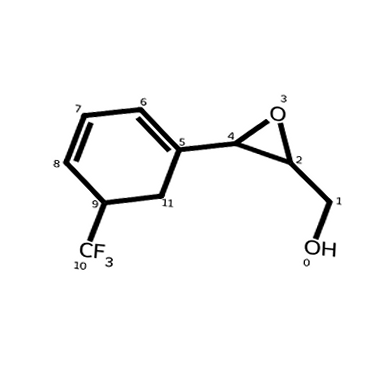 OCC1OC1C1=CC=CC(C(F)(F)F)C1